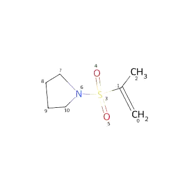 C=C(C)S(=O)(=O)N1CCCC1